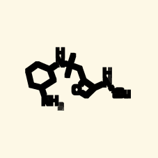 CC(C)(C)NC1COC1CC(C)(C)NC1CCCC(N)C1